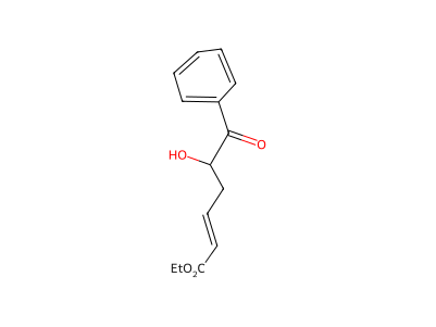 CCOC(=O)/C=C/CC(O)C(=O)c1ccccc1